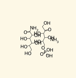 N.NC(=O)C(O)C(O)C(O)C(O)CO.O=C(CO)C(O)C(O)C(O)COP(=O)(O)O